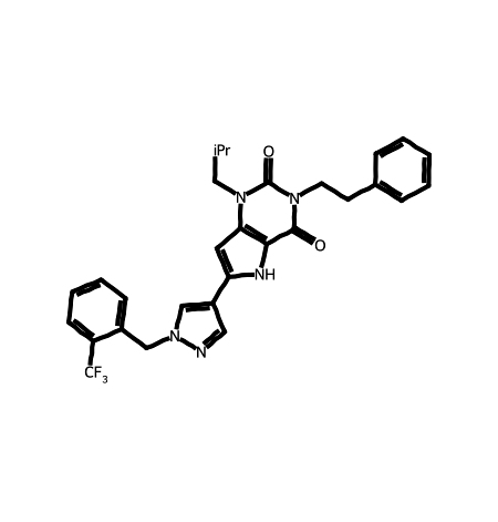 CC(C)Cn1c(=O)n(CCc2ccccc2)c(=O)c2[nH]c(-c3cnn(Cc4ccccc4C(F)(F)F)c3)cc21